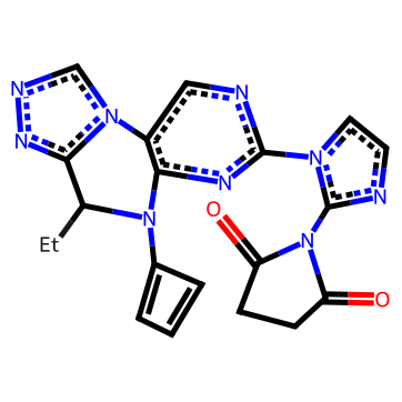 CCC1c2nncn2-c2cnc(-n3ccnc3N3C(=O)CCC3=O)nc2N1C1=CC=C1